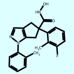 Cc1ccccc1-n1ncc2c1CC(C(=O)NO)(c1cccc(F)c1C)C2